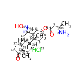 C[C@@H](N)CC(=O)O[C@H]1CC[C@@]2(C)[C@H](C1)/C(=N/O)C[C@@H]1[C@@H]2CC[C@]2(C)C(=O)CC[C@@H]12.Cl